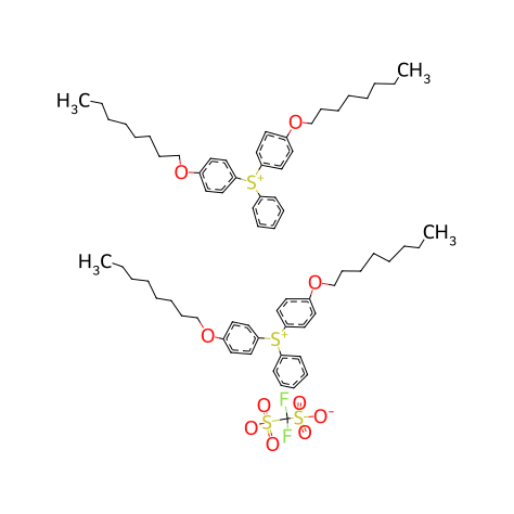 CCCCCCCCOc1ccc([S+](c2ccccc2)c2ccc(OCCCCCCCC)cc2)cc1.CCCCCCCCOc1ccc([S+](c2ccccc2)c2ccc(OCCCCCCCC)cc2)cc1.O=S(=O)([O-])C(F)(F)S(=O)(=O)[O-]